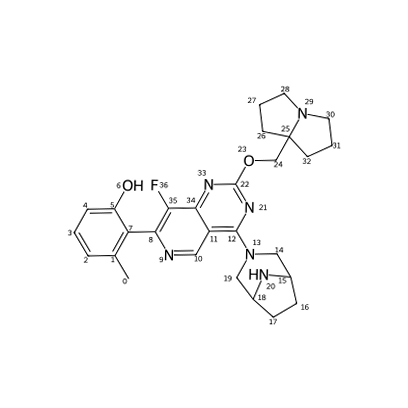 Cc1cccc(O)c1-c1ncc2c(N3CC4CCC(C3)N4)nc(OCC34CCCN3CCC4)nc2c1F